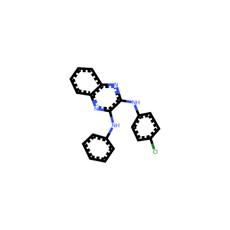 Clc1ccc(Nc2nc3ccccc3nc2Nc2ccccc2)cc1